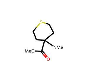 CNC1(C(=O)OC)CCSCC1